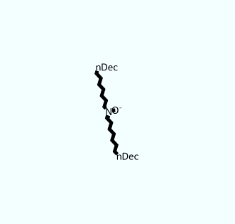 CCCCCCCCCCCCCCCCC=[N+]([O-])CCCCCCCCCCCCCCCCC